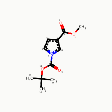 COC(=O)c1ccn(C(=O)OC(C)(C)C)c1